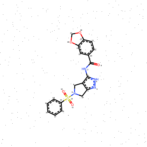 O=C(Nc1[nH]nc2c1CN(S(=O)(=O)c1ccccc1)C2)c1ccc2c(c1)OCO2